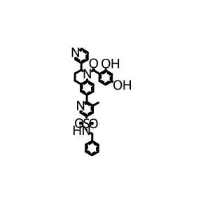 Cc1cc(S(=O)(=O)NCc2ccccc2)cnc1-c1ccc2c(c1)CCC(c1cccnc1)N2C(=O)c1ccc(O)cc1O